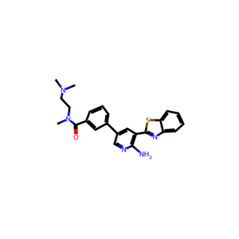 CN(C)CCN(C)C(=O)c1cccc(-c2cnc(N)c(-c3nc4ccccc4s3)c2)c1